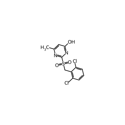 Cc1cc(O)nc(S(=O)(=O)Cc2c(Cl)cccc2Cl)n1